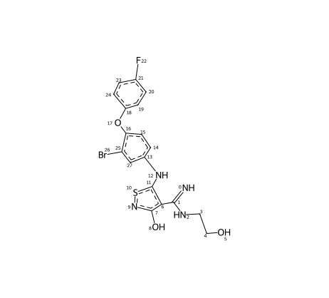 N=C(NCCO)c1c(O)nsc1Nc1ccc(Oc2ccc(F)cc2)c(Br)c1